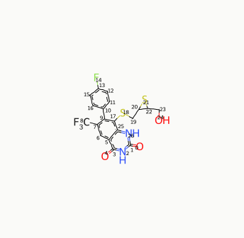 O=c1[nH]c(=O)c2cc(C(F)(F)F)c(-c3ccc(F)cc3)c(SCC3SC3CO)c2[nH]1